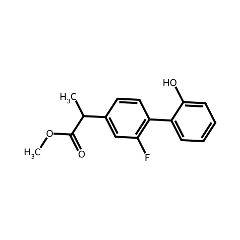 COC(=O)C(C)c1ccc(-c2ccccc2O)c(F)c1